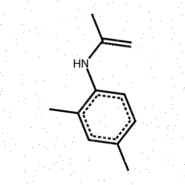 C=C(C)Nc1ccc(C)cc1C